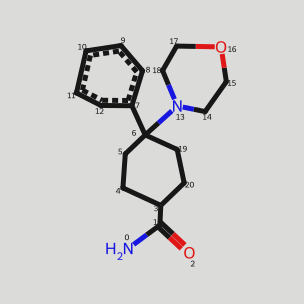 NC(=O)C1CCC(c2ccccc2)(N2CCOCC2)CC1